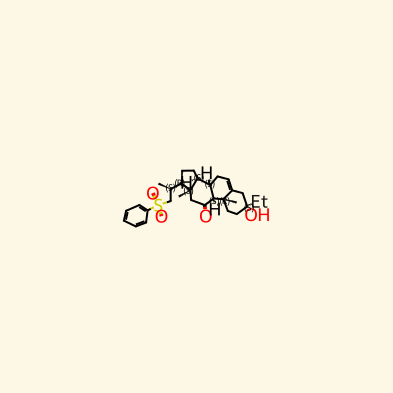 CC[C@]1(O)CC[C@@]2(C)C(=CC[C@H]3[C@@H]4CC[C@H]([C@H](C)CS(=O)(=O)c5ccccc5)[C@@]4(C)CC(=O)[C@@H]32)C1